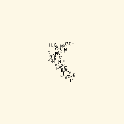 COc1ncc(-c2cc(N3C[C@H](Oc4cccc(C(F)F)n4)C(F)(F)C3)c3ncc(F)n3n2)c(OC)n1